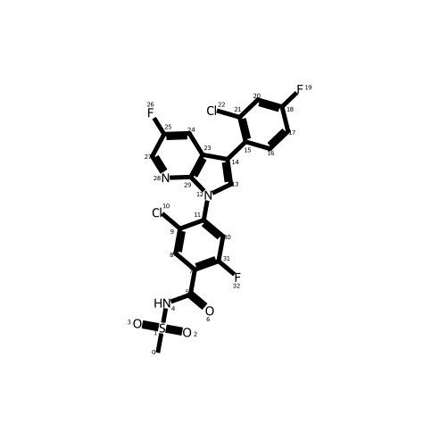 CS(=O)(=O)NC(=O)c1cc(Cl)c(-n2cc(-c3ccc(F)cc3Cl)c3cc(F)cnc32)cc1F